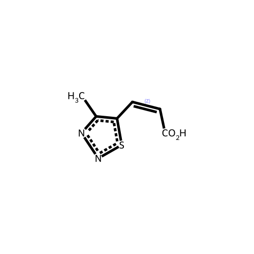 Cc1nnsc1/C=C\C(=O)O